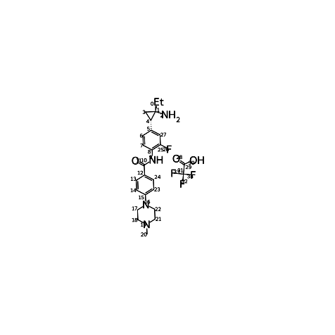 CC[C@]1(N)C[C@H]1c1ccc(NC(=O)c2ccc(N3CCN(C)CC3)cc2)c(F)c1.O=C(O)C(F)(F)F